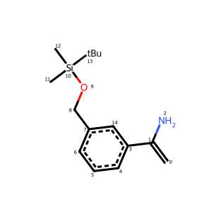 C=C(N)c1cccc(CO[Si](C)(C)C(C)(C)C)c1